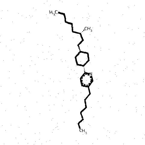 CCCCCCCc1ccc([C@H]2CC[C@H](CC[C@@H](C)CCCCC)CC2)nc1